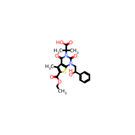 CCOC(=O)c1sc2c(c1C)c(=O)n(C(C)(C)C(=O)O)c(=O)n2CC(O)c1ccccc1